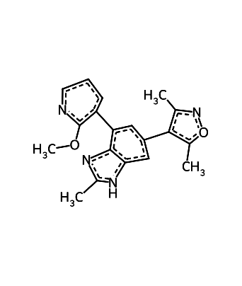 COc1ncccc1-c1cc(-c2c(C)noc2C)cc2[nH]c(C)nc12